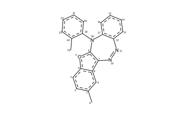 Cc1ccc2oc3c(c2c1)N=Nc1ccccc1N3c1ccccc1C